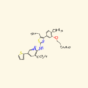 COCCOc1cc(-c2nc(Nc3ncc(-c4cccs4)cc3C(=O)O)sc2CC(C)(C)C)ccc1C